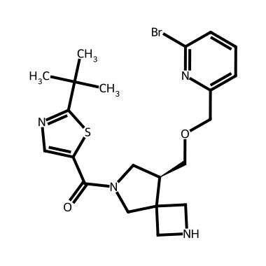 CC(C)(C)c1ncc(C(=O)N2C[C@@H](COCc3cccc(Br)n3)C3(CNC3)C2)s1